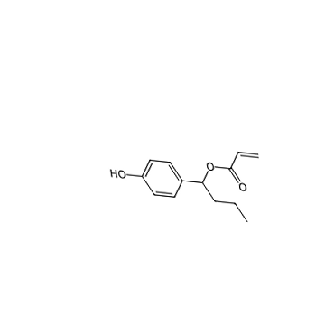 C=CC(=O)OC(CCC)c1ccc(O)cc1